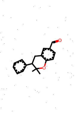 CC1(C)Oc2ccc(C=O)cc2CC1c1ccccc1